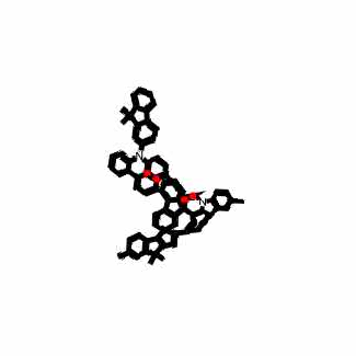 Cc1ccc2c(c1)C(C)(C)C1=C2C23C=CC4=C(C2)C2(c5ccccc54)c4cc(-c5ccc(N(c6ccc7c(c6)C(C)(C)c6ccccc6-7)c6ccccc6-c6ccccc6)cc5)ccc4-n4c5ccc(C)cc5c5cc(cc2c54)C3=C1